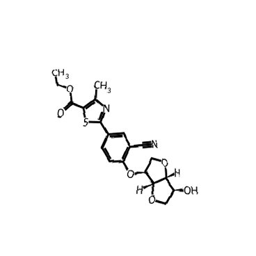 CCOC(=O)c1sc(-c2ccc(O[C@H]3CO[C@H]4[C@@H]3OC[C@@H]4O)c(C#N)c2)nc1C